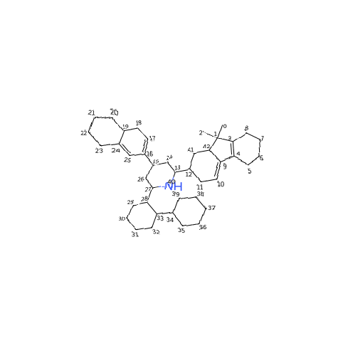 CC1(C)C2=C(CCCC2)C2=CCC(C3CC(C4=CCC5CCCCC5=C4)CC(C4CCCCC4C4CCCCC4)N3)CC21